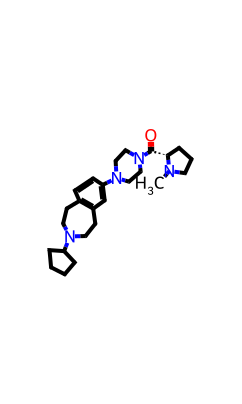 CN1CCC[C@H]1C(=O)N1CCN(c2ccc3c(c2)CCN(C2CCCC2)CC3)CC1